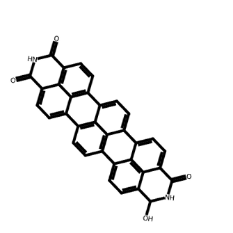 O=C1NC(=O)c2ccc3c4ccc5c6ccc7c8c(ccc(c9ccc(c%10ccc1c2c%103)c4c95)c86)C(=O)NC7O